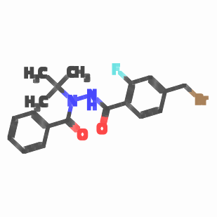 CC(C)(C)N(NC(=O)c1ccc(CBr)cc1F)C(=O)c1ccccc1